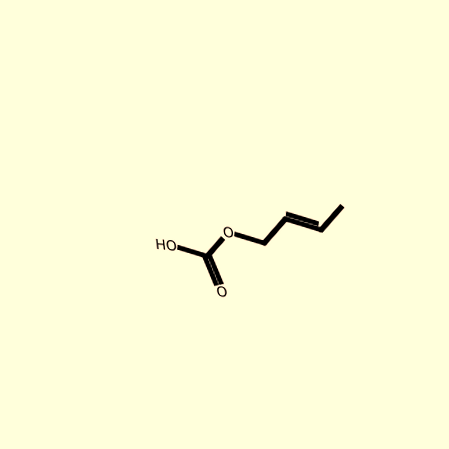 C/C=C/COC(=O)O